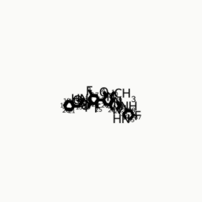 CCn1c(=O)c(-c2cc(F)c(NS(=O)(=O)Cc3ccccc3)c(F)c2F)cc2cnc(N[C@@H]3CNC[C@@H](F)C3)nc21